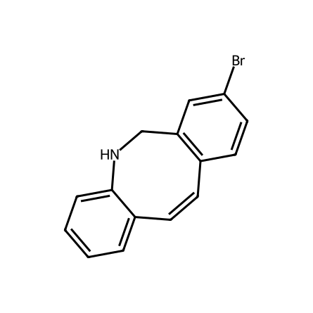 Brc1ccc2c(c1)CNc1ccccc1C=C2